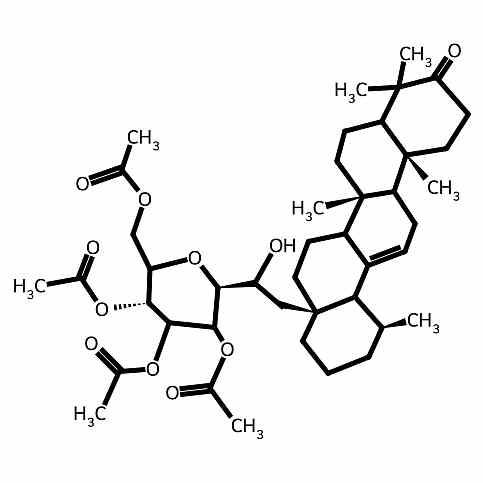 CC(=O)OCC1O[C@@H](C(O)C[C@]23CCC[C@H](C)C2C2=CCC4[C@@](C)(CCC5C(C)(C)C(=O)CC[C@@]54C)C2CC3)C(OC(C)=O)C(OC(C)=O)[C@@H]1OC(C)=O